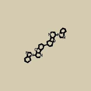 c1ccc2c(c1)ncn2-c1ccnc2c1oc1ccc(-c3ccc4oc5c(-n6cnc7ccccc76)ccnc5c4c3)cc12